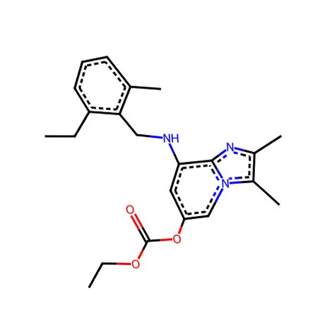 CCOC(=O)Oc1cc(NCc2c(C)cccc2CC)c2nc(C)c(C)n2c1